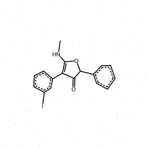 CNC1=C(c2cccc(I)c2)C(=O)C(c2ccccc2)O1